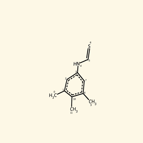 Cc1cc(N[C]=S)cc(C)c1C